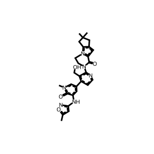 Cc1cc(Nc2cc(-c3ccnc(N4CCn5c(cc6c5CC(C)(C)C6)C4=O)c3CO)cn(C)c2=O)no1